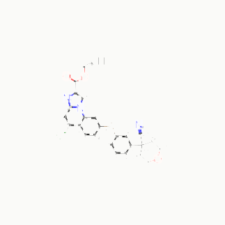 CCOC(=O)c1cn2c(cc(Cl)c3ccc(Sc4cccc(C5(C#N)CCOCC5)c4)cc32)n1